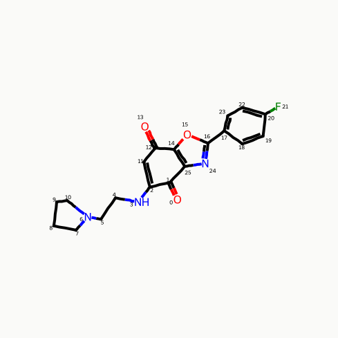 O=C1C(NCCN2CCCC2)=CC(=O)c2oc(-c3ccc(F)cc3)nc21